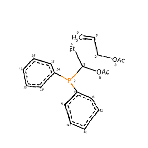 C=CCOC(C)=O.CCC(OC(C)=O)P(c1ccccc1)c1ccccc1